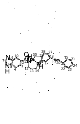 O=C(c1ccc2[nH]cnc2c1)N1CCC[C@H]2c3cc(C#Cc4ccccc4)ccc3C[C@H]21